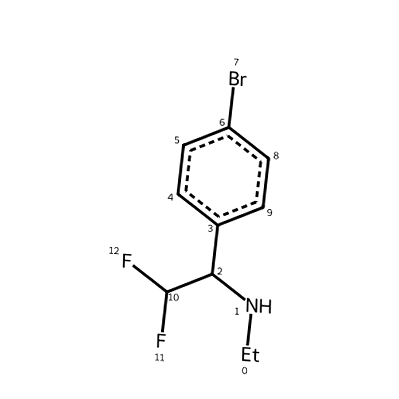 CCNC(c1ccc(Br)cc1)C(F)F